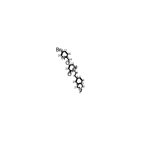 CN1Cc2ccc(CCn3ncc(OCc4ccc(Br)cn4)cc3=O)cc2C1